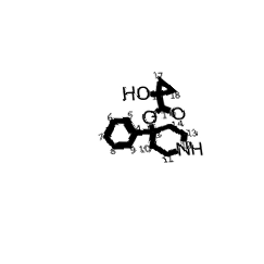 O=C(OC1(c2ccccc2)CCNCC1)C1(O)CC1